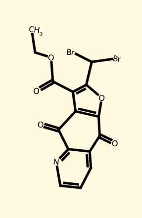 CCOC(=O)c1c(C(Br)Br)oc2c1C(=O)c1ncccc1C2=O